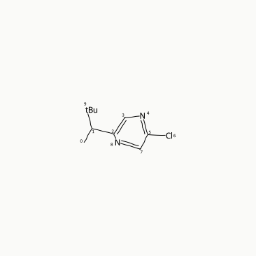 CC(c1cnc(Cl)cn1)C(C)(C)C